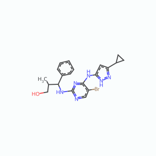 CC(CO)C(Nc1ncc(Br)c(Nc2cc(C3CC3)n[nH]2)n1)c1ccccc1